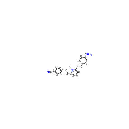 C[n+]1c(/C=C/c2ccc(N)cc2)cccc1/C=C/c1ccc(C#N)cc1